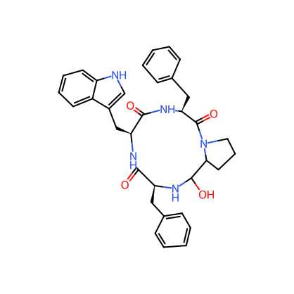 O=C1N[C@@H](Cc2ccccc2)C(=O)N2CCCC2C(O)N[C@@H](Cc2ccccc2)C(=O)N[C@H]1Cc1c[nH]c2ccccc12